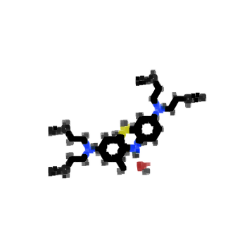 COCCN(CCOC)c1ccc2nc3c(C)cc(N(CCOC)CCOC)cc3[s+]c2c1.[Br-]